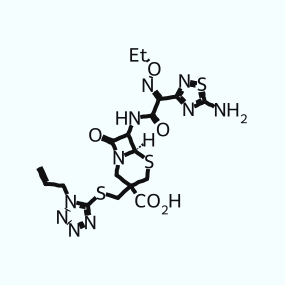 C=CCn1nnnc1SCC1(C(=O)O)CS[C@@H]2C(NC(=O)C(=NOCC)c3nsc(N)n3)C(=O)N2C1